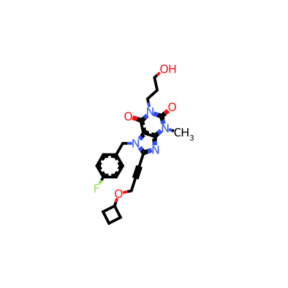 Cn1c(=O)n(CCCO)c(=O)c2c1nc(C#CCOC1CCC1)n2Cc1ccc(F)cc1